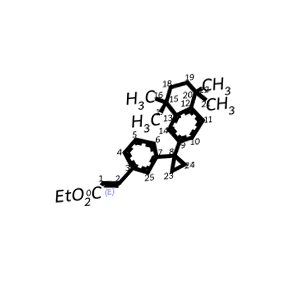 CCOC(=O)/C=C/c1cccc(C2(c3ccc4c(c3)C(C)(C)CCC4(C)C)CC2)c1